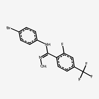 ON=C(Nc1ccc(Br)cc1)c1ccc(C(F)(F)F)cc1F